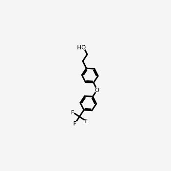 OCCc1ccc(Oc2ccc(C(F)(F)F)cc2)cc1